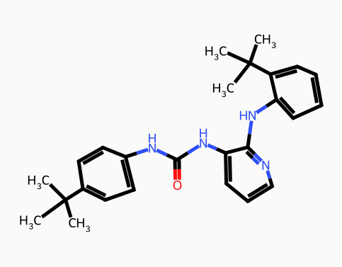 CC(C)(C)c1ccc(NC(=O)Nc2cccnc2Nc2ccccc2C(C)(C)C)cc1